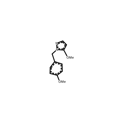 COc1ccc(Cn2nccc2OC)cc1